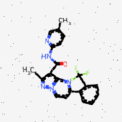 Cc1ccc(NC(=O)c2c(C)nn3ccc(-c4ccccc4C(F)(F)F)nc23)nc1